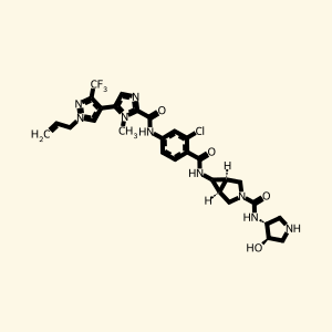 C=CCn1cc(-c2cnc(C(=O)Nc3ccc(C(=O)NC4[C@H]5CN(C(=O)N[C@@H]6CNC[C@H]6O)C[C@@H]45)c(Cl)c3)n2C)c(C(F)(F)F)n1